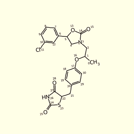 CC(CN1CC(c2cccc(Cl)c2)OC1=O)Oc1ccc(CC2SC(=O)NC2=O)cc1